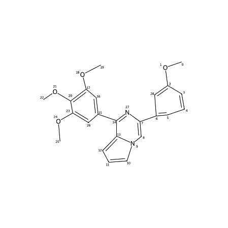 COc1cccc(-c2cn3cccc3c(-c3cc(OC)c(OC)c(OC)c3)n2)c1